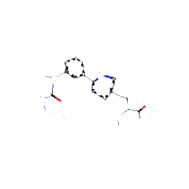 CCCCCCCNC(=O)N(C)c1cccc(-c2ccc(C[C@H](OCC)C(=O)OC)cn2)c1